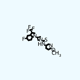 COc1ccc(NC(=S)N2CC(n3cc(C(F)(F)F)c4cc(F)ccc43)C2)cn1